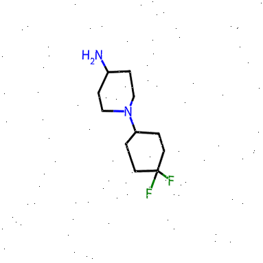 NC1CCN(C2CCC(F)(F)CC2)CC1